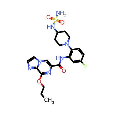 CCCOc1nc(C(=O)Nc2cc(F)ccc2N2CCC(NS(N)(=O)=O)CC2)cn2ccnc12